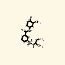 Cc1cc(NC(=O)c2cccc(S(=O)(=O)NC(C)CN)c2)ccc1F